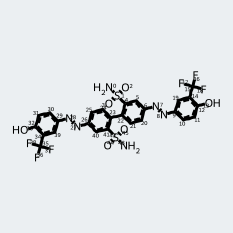 NS(=O)(=O)c1cc(N=Nc2ccc(O)c(C(F)(F)F)c2)ccc1-c1ccc(N=Nc2ccc(O)c(C(F)(F)F)c2)cc1S(N)(=O)=O